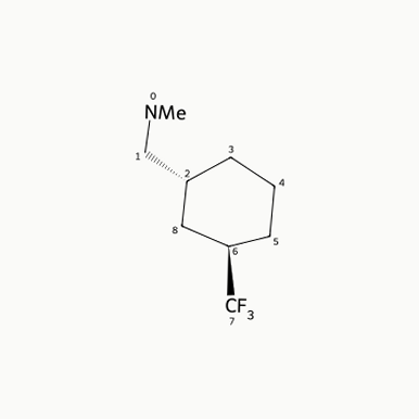 CNC[C@@H]1CCC[C@@H](C(F)(F)F)C1